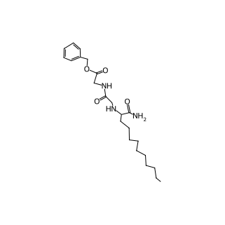 CCCCCCCCCCC(NCC(=O)NCC(=O)OCc1ccccc1)C(N)=O